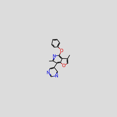 Cc1nc(Oc2ccccc2)c2c(C)coc2c1-c1cncnc1